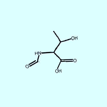 CC(O)C(N[C]=O)C(=O)O